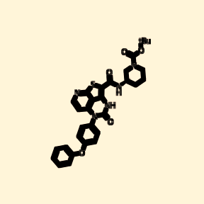 CC(C)(C)OC(=O)N1CCC[C@@H](NC(=O)c2sc3nccc4c3c2NC(=O)N4c2ccc(Oc3ccccc3)cc2)C1